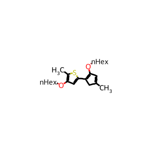 CCCCCCOC1=C(c2cc(OCCCCCC)c(C)s2)CC(C)=C1